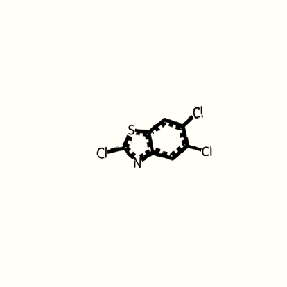 Clc1nc2cc(Cl)c(Cl)cc2s1